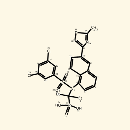 CCC(CC)(N(c1cccc2cc(-c3noc(C)n3)ccc12)S(=O)(=O)c1cc(Cl)cc(Cl)c1)P(=O)(O)O